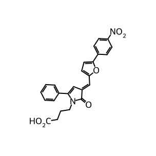 O=C(O)CCCN1C(=O)C(=Cc2ccc(-c3ccc([N+](=O)[O-])cc3)o2)C=C1c1ccccc1